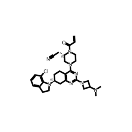 C=CC(=O)N1CCN(c2nc(N3CC(N(C)C)C3)nc3c2CC[C@H](N2CCc4cccc(Cl)c42)C3)C[C@@H]1CC#N